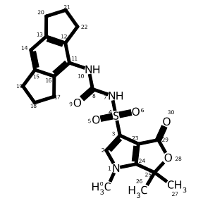 Cn1cc(S(=O)(=O)NC(=O)Nc2c3c(cc4c2CCC4)CCC3)c2c1C(C)(C)OC2=O